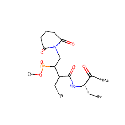 CCO[PH](=O)C(CN1C(=O)CCCC1=O)C(CC(C)C)C(=O)N[C@@H](CC(C)C)C(=O)NC